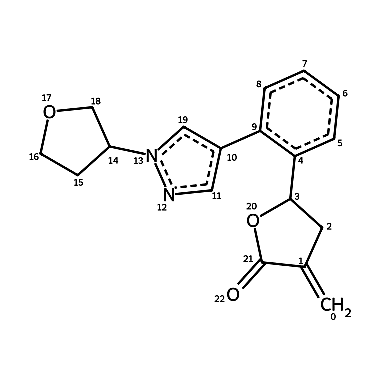 C=C1CC(c2ccccc2-c2cnn(C3CCOC3)c2)OC1=O